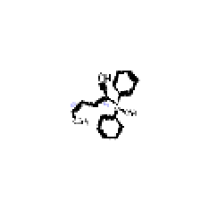 C#C/C(=C\C=C/C)[Si](O)(c1ccccc1)c1ccccc1